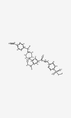 CCS(=O)(=O)c1ccc(CNC(=O)c2cc3c(s2)C2(CCN(C(C)c4ccc(C#N)cc4)CC2)OCC3C)nc1